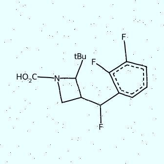 CC(C)(C)C1C(C(F)c2cccc(F)c2F)CN1C(=O)O